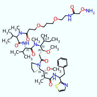 CC[C@H](C)[C@@H]([C@@H](CC(=O)N1CCC[C@H]1[C@H](OC)[C@@H](C)C(=O)NC(Cc1ccccc1)c1nccs1)OC)N(C)C(=O)[C@@H](NC(=O)C(C(C)C)N(C)C(=O)CCOCCCOCCNC(=O)CON)C(C)C